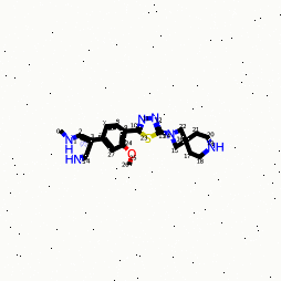 CN/C=C(\C=N)c1ccc(-c2nnc(N3CC4(CCNCC4)C3)s2)c(OC)c1